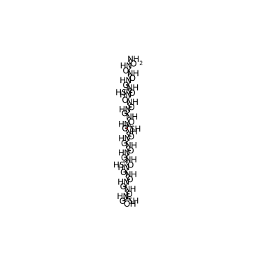 NCC(=O)NCC(=O)NCC(=O)NCC(=O)N[C@@H](CS)C(=O)NCC(=O)NCC(=O)NCC(=O)NCC(=O)N[C@@H](CS)C(=O)NCC(=O)NCC(=O)NCC(=O)NCC(=O)N[C@@H](CS)C(=O)NCC(=O)NCC(=O)NCC(=O)NCC(=O)N[C@@H](CS)C(=O)O